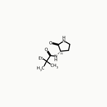 CCC(C)(C)C(=O)N[C@H]1CCNC1=O